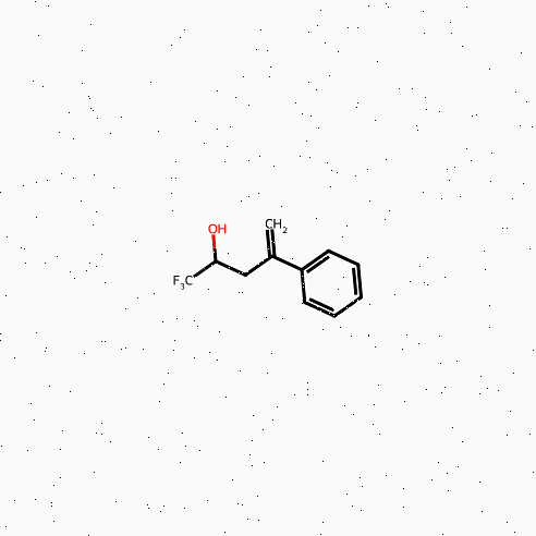 C=C(CC(O)C(F)(F)F)c1ccccc1